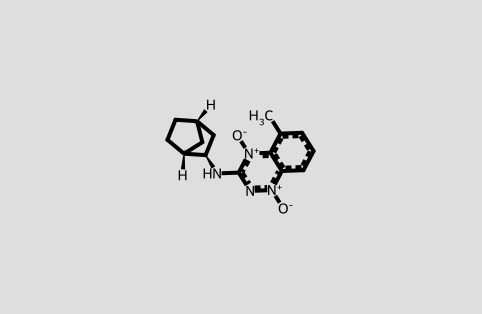 Cc1cccc2c1[n+]([O-])c(N[C@@H]1C[C@H]3CC[C@@H]1C3)n[n+]2[O-]